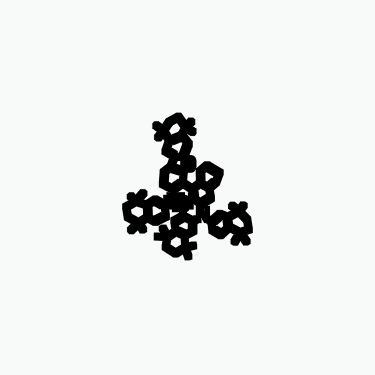 CC1(C)CCC(C)(C)c2cc(Nc3ccc4c(oc5cc6c(cc54)C(C)(C)CCC6(C)C)c3-c3c4c(cc5ccccc35)N(c3ccc5c(c3)C(C)(C)CCC5(C)C)c3cc5c(cc3B4)C(C)(C)CCC5(C)C)ccc21